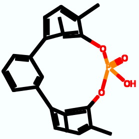 Cc1ccc2c(C)c1OP(=O)(O)Oc1c(C)ccc(c1C)-c1cccc-2c1